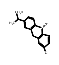 CC(C(=O)O)c1ccc2c(c1)Cc1cc(Cl)ccc1[S+]2[O-]